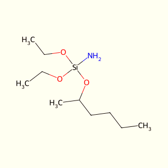 CCCCC(C)O[Si](N)(OCC)OCC